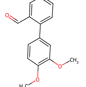 COc1ccc(-c2ccccc2C=O)cc1OC